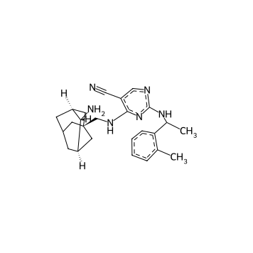 Cc1ccccc1C(C)Nc1ncc(C#N)c(NC[C@]23CC4C[C@H](C2)[C@@H](N)[C@@H](C4)C3)n1